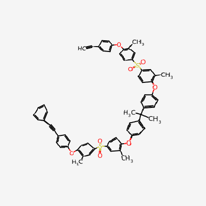 C#Cc1ccc(Oc2ccc(S(=O)(=O)c3ccc(Oc4ccc(C(C)(C)c5ccc(Oc6ccc(S(=O)(=O)c7ccc(Oc8ccc(C#Cc9ccccc9)cc8)c(C)c7)cc6C)cc5)cc4)c(C)c3)cc2C)cc1